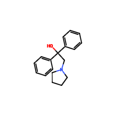 OC(CN1CCCC1)(c1ccccc1)c1ccccc1